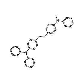 CN(c1ccccc1)c1ccc(CCc2ccc(N(c3ccccc3)c3ccccc3)cc2)cc1